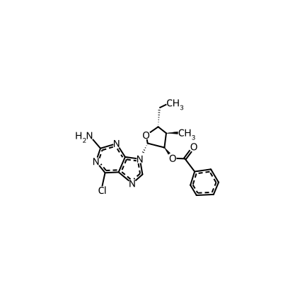 CC[C@H]1O[C@@H](n2cnc3c(Cl)nc(N)nc32)[C@H](OC(=O)c2ccccc2)[C@@H]1C